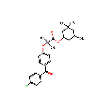 CC1CC(OC(=O)C(C)(C)Oc2ccc(C(=O)c3ccc(Cl)cc3)cc2)CC(C)(C)C1